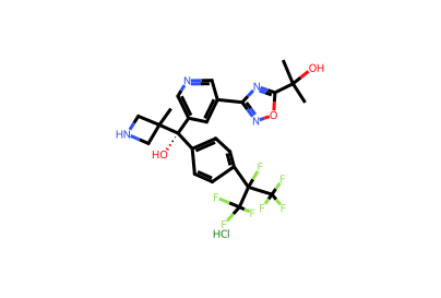 CC(C)(O)c1nc(-c2cncc([C@@](O)(c3ccc(C(F)(C(F)(F)F)C(F)(F)F)cc3)C3(C)CNC3)c2)no1.Cl